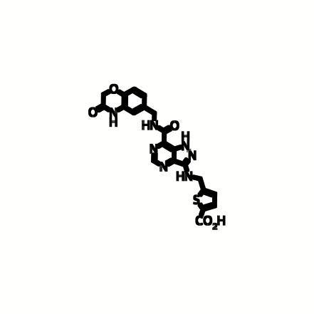 O=C1COc2ccc(CNC(=O)c3ncnc4c(NCc5ccc(C(=O)O)s5)n[nH]c34)cc2N1